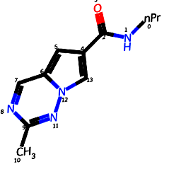 CCCNC(=O)c1cc2cnc(C)nn2c1